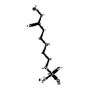 CC(C)(C)OC(=O)CCOCCOS(C)(=O)=O